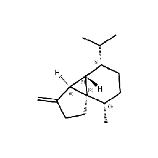 C=C1CC[C@]23[C@@H]([C@H](C(C)C)CC[C@@H]2C)[C@H]13